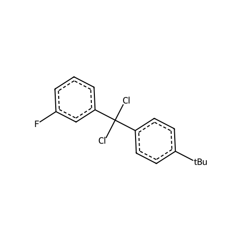 CC(C)(C)c1ccc(C(Cl)(Cl)c2cccc(F)c2)cc1